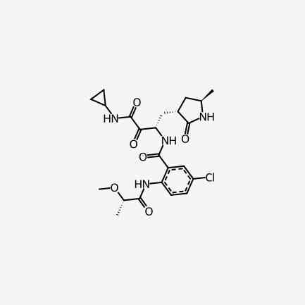 CO[C@@H](C)C(=O)Nc1ccc(Cl)cc1C(=O)N[C@@H](C[C@@H]1C[C@@H](C)NC1=O)C(=O)C(=O)NC1CC1